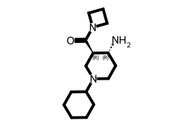 N[C@@H]1CCN(C2CCCCC2)C[C@H]1C(=O)N1CCC1